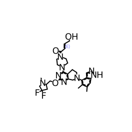 Cc1cc2[nH]ncc2c(N2CCc3c(nc(OCC4CC(F)(F)CN4C)nc3N3CCN(C(=O)/C=C/CO)CC3)C2)c1C